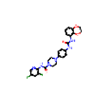 O=C(Nc1ccc(N2CCN(C(=O)Nc3ncc(F)cc3F)CC2)cc1)Nc1cccc2c1OCCO2